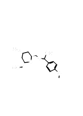 COc1ccc(C(O)OC[C@@H]2C[C@@H](O)C[C@@H](CO)O2)cc1